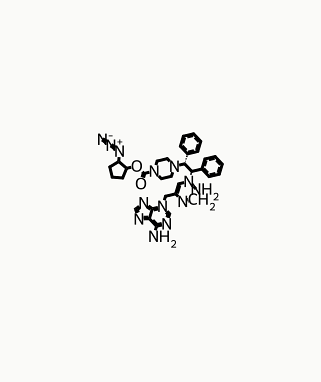 C=N/C(=C\N(N)[C@@H](c1ccccc1)[C@@H](c1ccccc1)N1CCN(C(=O)OC2CCCC2N=[N+]=[N-])CC1)Cn1cnc(N)c2ncnc1-2